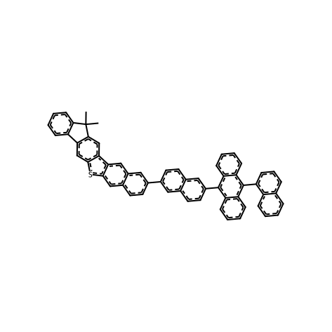 CC1(C)c2ccccc2-c2cc3sc4cc5ccc(-c6ccc7cc(-c8c9ccccc9c(-c9cccc%10ccccc9%10)c9ccccc89)ccc7c6)cc5cc4c3cc21